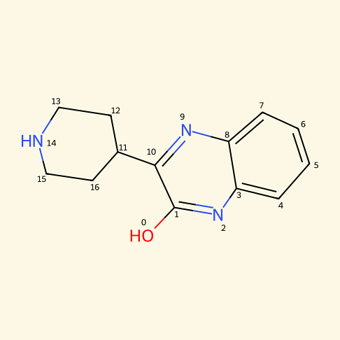 Oc1nc2ccccc2nc1C1CCNCC1